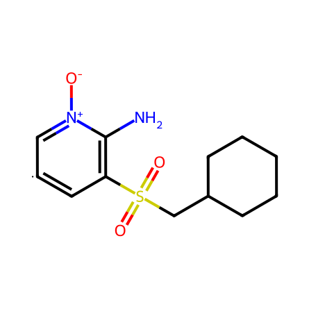 Nc1c(S(=O)(=O)CC2CCCCC2)c[c]c[n+]1[O-]